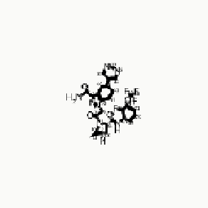 NC(=O)c1nn(CC(=O)N2C3C[C@@H]3C[C@H]2C(=O)Nc2cccc(OC(F)(F)F)c2F)c2ccc(-c3cncnc3)cc12